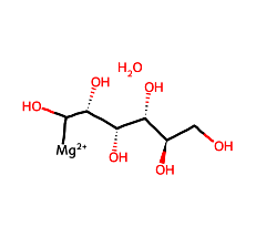 O.OC[C@@H](O)[C@@H](O)[C@H](O)[C@@H](O)[CH](O)[Mg+2]